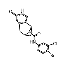 O=C(Nc1ccc(Br)c(Cl)c1)N1C2CCC1c1c[nH]c(=O)cc1C2